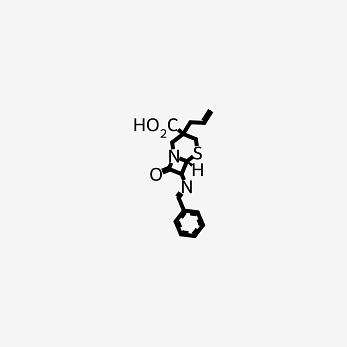 C=CCC1(C(=O)O)CS[C@@H]2C(N=Cc3ccccc3)C(=O)N2C1